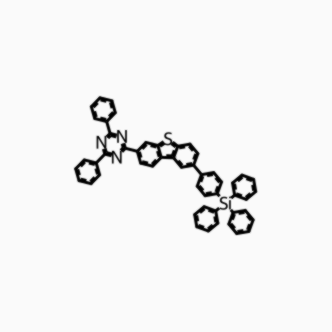 c1ccc(-c2nc(-c3ccccc3)nc(-c3ccc4c(c3)sc3ccc(-c5ccc([Si](c6ccccc6)(c6ccccc6)c6ccccc6)cc5)cc34)n2)cc1